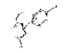 COCC(c1ccc(F)cc1)C(C)C